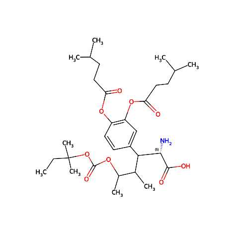 CCC(C)(C)OC(=O)OC(C)C(C)C(c1ccc(OC(=O)CCC(C)C)c(OC(=O)CCC(C)C)c1)[C@H](N)C(=O)O